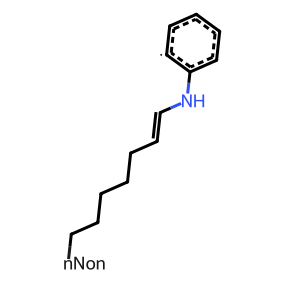 CCCCCCCCCCCCCCC=CNc1[c]cccc1